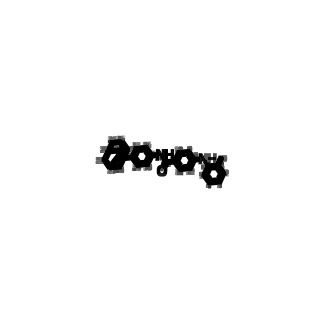 [CH2]c1ccccc1Nc1ccc(C(=O)Nc2ccc(C34CC5CC(CC(C5)C3)C4)cc2)cc1